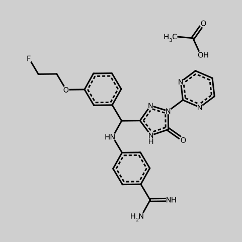 CC(=O)O.N=C(N)c1ccc(NC(c2cccc(OCCF)c2)c2nn(-c3ncccn3)c(=O)[nH]2)cc1